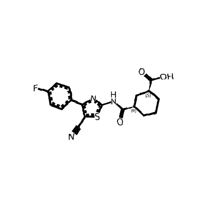 N#Cc1sc(NC(=O)[C@@H]2CCC[C@H](C(=O)O)C2)nc1-c1ccc(F)cc1